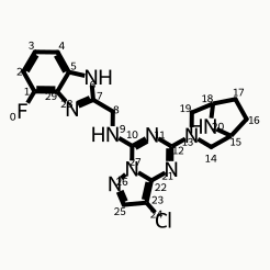 Fc1cccc2[nH]c(CNc3nc(N4CC5CCC(C4)N5)nc4c(Cl)cnn34)nc12